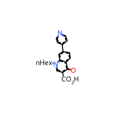 CCCCCCn1cc(C(=O)O)c(=O)c2ccc(-c3ccncc3)cc21